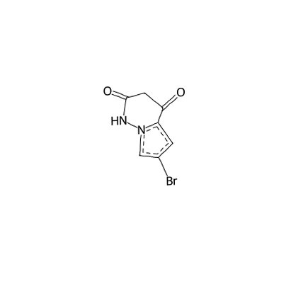 O=C1CC(=O)c2cc(Br)cn2N1